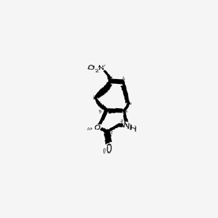 O=c1[nH]c2ccc([N+](=O)[O-])cc2o1